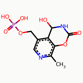 Cc1ncc(COP(=O)(O)O)c2c1OC(=O)NC2O